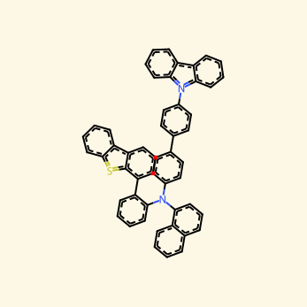 c1ccc(N(c2ccc(-c3ccc(-n4c5ccccc5c5ccccc54)cc3)cc2)c2cccc3ccccc23)c(-c2cccc3c2sc2ccccc23)c1